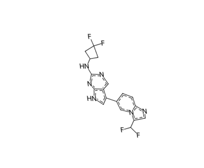 FC(F)c1cnc2ccc(-c3c[nH]c4nc(NC5CC(F)(F)C5)ncc34)cn12